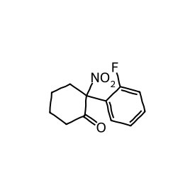 O=C1CCCCC1(c1ccccc1F)[N+](=O)[O-]